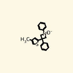 Cc1csc(C2(c3ccccc3)C[N+]([O-])(c3ccccc3)C2)c1